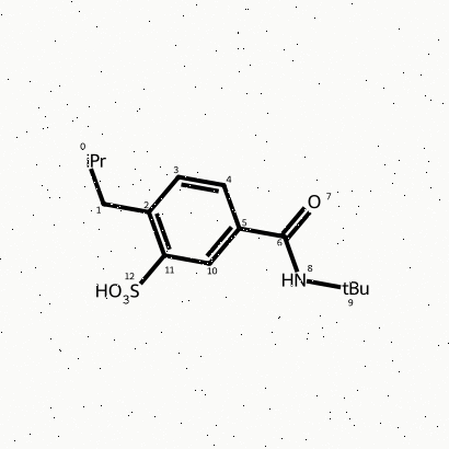 CC(C)Cc1ccc(C(=O)NC(C)(C)C)cc1S(=O)(=O)O